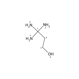 NC(N)(N)CCO